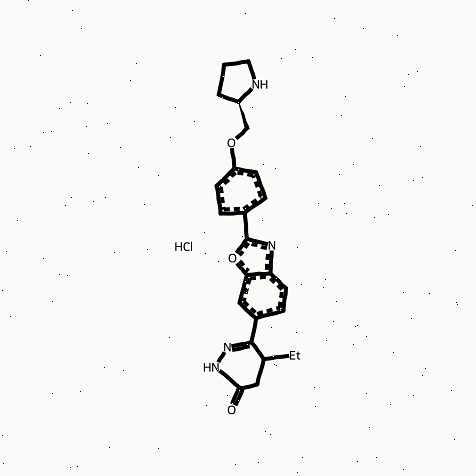 CCC1CC(=O)NN=C1c1ccc2nc(-c3ccc(OC[C@H]4CCCN4)cc3)oc2c1.Cl